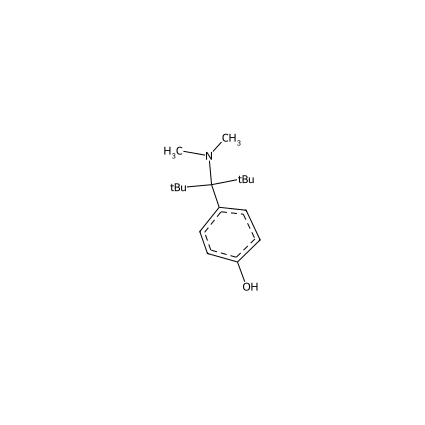 CN(C)C(c1ccc(O)cc1)(C(C)(C)C)C(C)(C)C